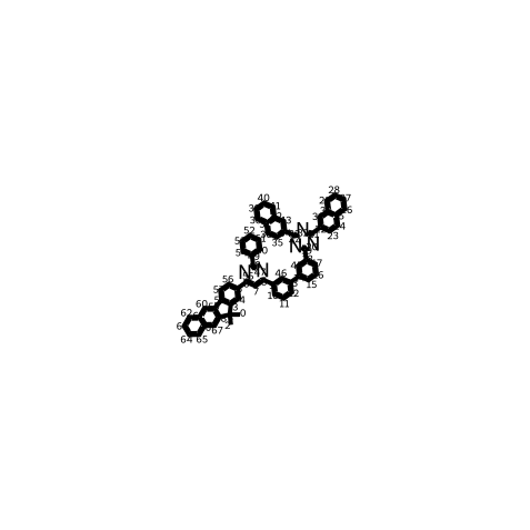 CC1(C)c2cc(-c3cc(-c4cccc(-c5cccc(-c6nc(-c7ccc8ccccc8c7)nc(-c7ccc8ccccc8c7)n6)c5)c4)nc(-c4ccccc4)n3)ccc2-c2cc3ccccc3cc21